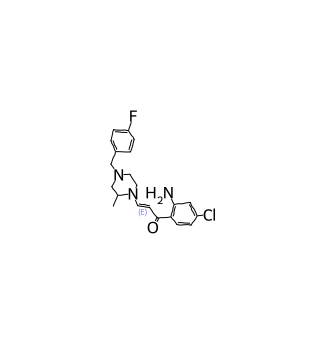 CC1CN(Cc2ccc(F)cc2)CCN1/C=C/C(=O)c1ccc(Cl)cc1N